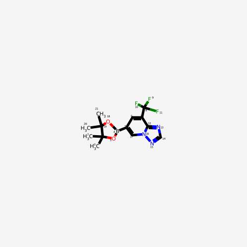 CC1(C)OB(c2cc(C(F)(F)F)c3ncnn3c2)OC1(C)C